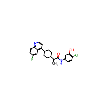 C=C(C(=O)Nc1ccc(Cl)c(O)c1)C1CCC(c2ccnc3ccc(F)cc23)CC1